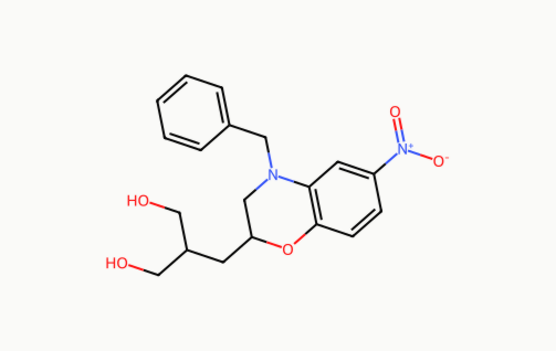 O=[N+]([O-])c1ccc2c(c1)N(Cc1ccccc1)CC(CC(CO)CO)O2